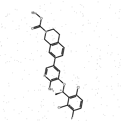 C[C@@H](Oc1cc(-c2ccc3c(c2)CN(C(=O)OC(C)(C)C)CC3)cnc1N)c1c(Cl)ccc(F)c1Cl